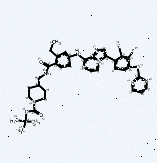 CCc1cc(Nc2nccn3c(-c4ccc(Oc5ncccn5)c(F)c4F)cnc23)ccc1C(=O)NCC1CCN(C(=O)OC(C)(C)C)CC1